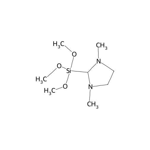 CO[Si](OC)(OC)C1N(C)CCN1C